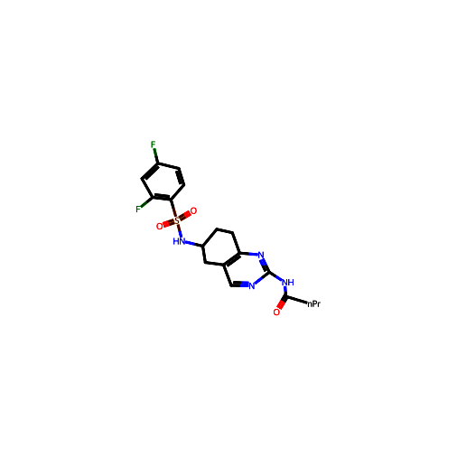 CCCC(=O)Nc1ncc2c(n1)CCC(NS(=O)(=O)c1ccc(F)cc1F)C2